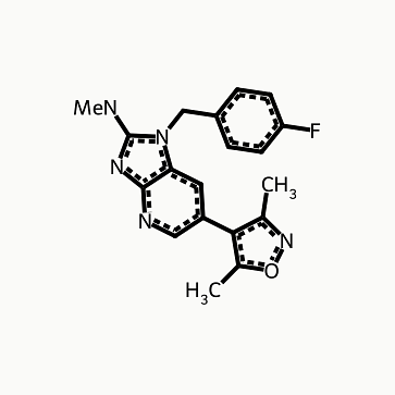 CNc1nc2ncc(-c3c(C)noc3C)cc2n1Cc1ccc(F)cc1